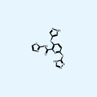 O=C(Nc1nccs1)c1nc(Sc2nnc[nH]2)ccc1Sc1cn[nH]c1